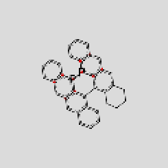 c1ccc(P(c2ccccc2)c2ccc3c(c2-c2c(P(c4ccccc4)c4ccccc4)ccc4ccccc24)CCCC3)cc1